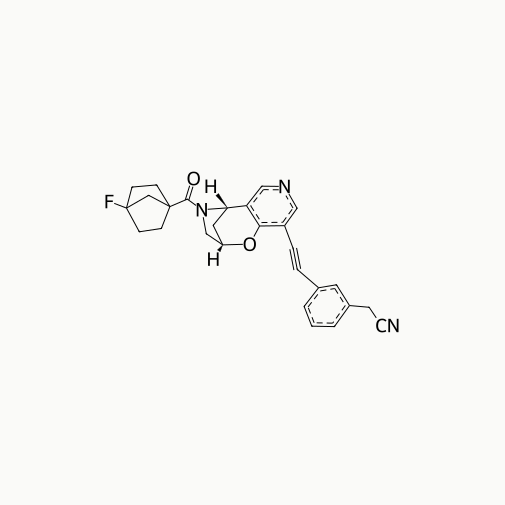 N#CCc1cccc(C#Cc2cncc3c2O[C@H]2C[C@@H]3N(C(=O)C34CCC(F)(CC3)C4)C2)c1